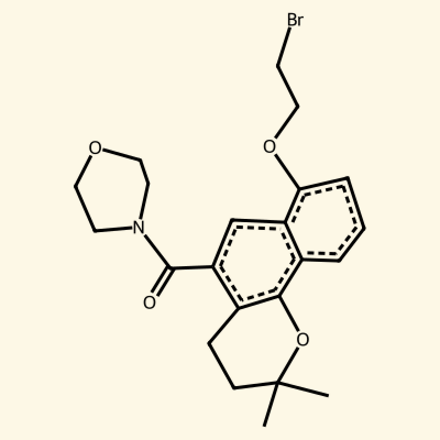 CC1(C)CCc2c(C(=O)N3CCOCC3)cc3c(OCCBr)cccc3c2O1